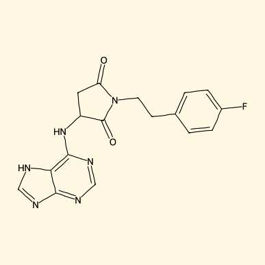 O=C1CC(Nc2ncnc3nc[nH]c23)C(=O)N1CCc1ccc(F)cc1